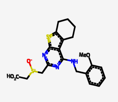 COc1ccccc1CNc1nc(C[S+]([O-])CC(=O)O)nc2sc3c(c12)CCCC3